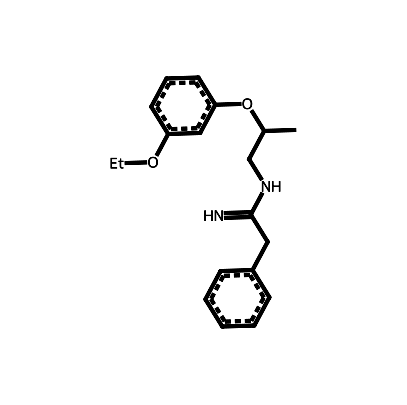 CCOc1cccc(OC(C)CNC(=N)Cc2ccccc2)c1